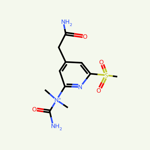 C[N+](C)(C(N)=O)c1cc(CC(N)=O)cc(S(C)(=O)=O)n1